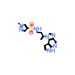 C=C(CCNS(=O)(=O)c1cnn(C)c1)n1cnc2cnc3[nH]ccc3c21